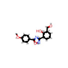 COc1ccc(-c2nc(-c3cccc(C=O)c3O)no2)cc1